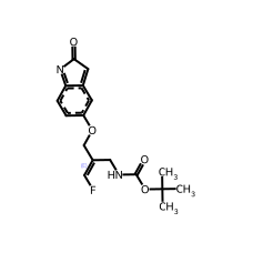 CC(C)(C)OC(=O)NC/C(=C\F)COc1ccc2c(c1)=CC(=O)N=2